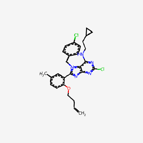 C=CCCOc1ccc(C)cc1-c1nc2nc(Cl)nc(NCCC3CC3)c2n1Cc1ccc(Cl)cc1